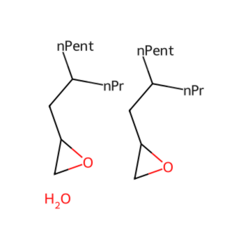 CCCCCC(CCC)CC1CO1.CCCCCC(CCC)CC1CO1.O